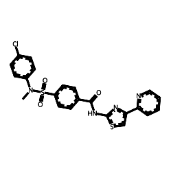 CN(c1ccc(Cl)cc1)S(=O)(=O)c1ccc(C(=O)Nc2nc(-c3ccccn3)cs2)cc1